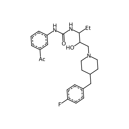 CCC(NC(=O)Nc1cccc(C(C)=O)c1)C(O)CN1CCC(Cc2ccc(F)cc2)CC1